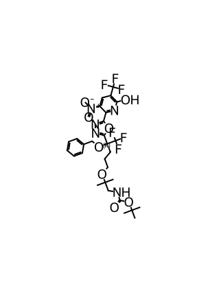 CC(C)(C)OC(=O)NCC(C)(C)OCCC[C@@](OCc1ccccc1)(c1nnc(-c2nc(O)c(C(F)(F)F)cc2[N+](=O)[O-])o1)C(F)(F)F